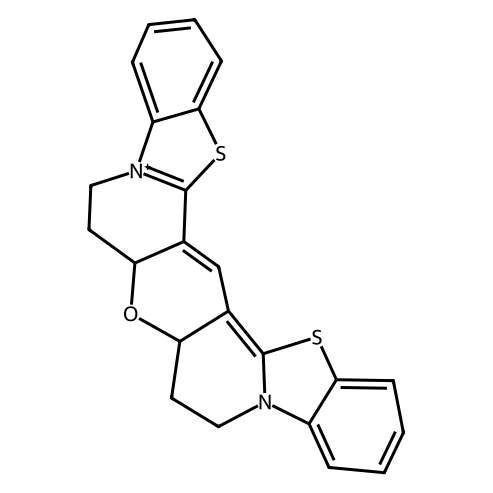 C1=C2c3sc4ccccc4[n+]3CCC2OC2CCN3C(=C12)Sc1ccccc13